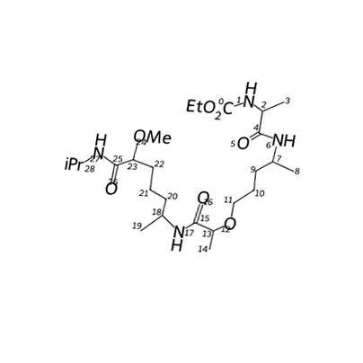 CCOC(=O)NC(C)C(=O)NC(C)CCCOC(C)C(=O)NC(C)CCCC(OC)C(=O)NC(C)C